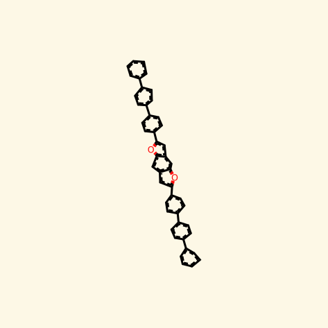 c1ccc(-c2ccc(-c3ccc(-c4cc5cc6oc(-c7ccc(-c8ccc(-c9ccccc9)cc8)cc7)cc6cc5o4)cc3)cc2)cc1